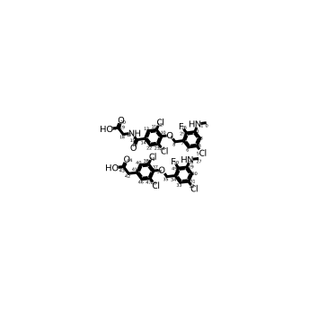 CNc1cc(Cl)cc(COc2c(Cl)cc(C(=O)NCC(=O)O)cc2Cl)c1F.CNc1cc(Cl)cc(COc2c(Cl)cc(CC(=O)O)cc2Cl)c1F